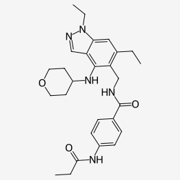 CCC(=O)Nc1ccc(C(=O)NCc2c(CC)cc3c(cnn3CC)c2NC2CCOCC2)cc1